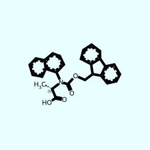 C[C@@H](C(=O)O)N(C(=O)OCC1c2ccccc2-c2ccccc21)c1cccc2ccccc12